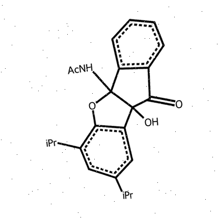 CC(=O)NC12Oc3c(C(C)C)cc(C(C)C)cc3C1(O)C(=O)c1ccccc12